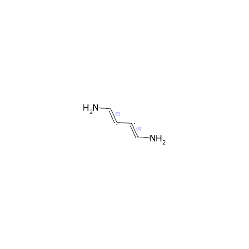 N/C=[C]/[C]=C/N